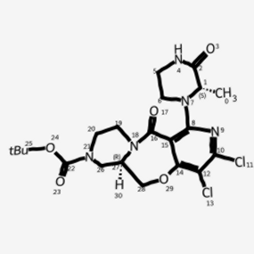 C[C@H]1C(=O)NCCN1c1nc(Cl)c(Cl)c2c1C(=O)N1CCN(C(=O)OC(C)(C)C)C[C@@H]1CO2